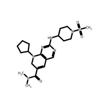 CN(C)C(=O)C1=Cc2cnc(NC3CCN(S(C)(=O)=O)CC3)nc2N(C2CCCC2)C1